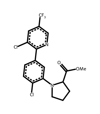 COC(=O)C1CCCN1c1cc(-c2ncc(C(F)(F)F)cc2Cl)ccc1Cl